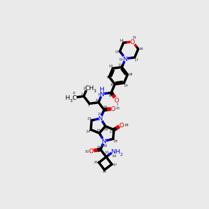 CC(C)CC(NC(=O)c1ccc(N2CCOCC2)cc1)C(=O)N1CCC2C1C(=O)CN2C(=O)C1(N)CCC1